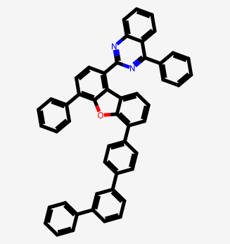 c1ccc(-c2cccc(-c3ccc(-c4cccc5c4oc4c(-c6ccccc6)ccc(-c6nc(-c7ccccc7)c7ccccc7n6)c45)cc3)c2)cc1